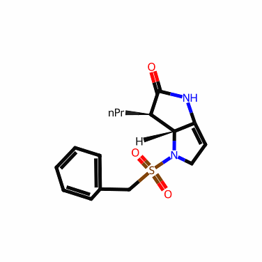 CCC[C@H]1C(=O)NC2=CCN(S(=O)(=O)Cc3ccccc3)[C@@H]21